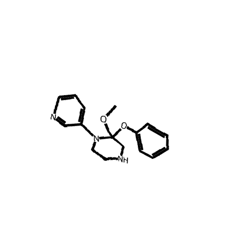 COC1(Oc2ccccc2)CNCCN1c1cccnc1